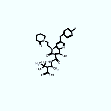 C[C@H](NC(=O)c1c(O)c2ncc(Cc3ccc(F)cc3)cc2n(CCN2CCCCC2=O)c1=O)C(C(=O)O)C(C)(C)C